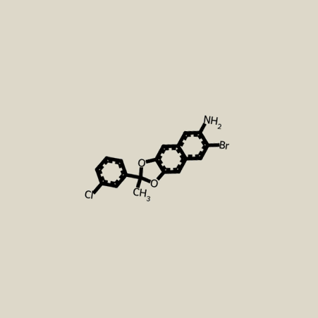 CC1(c2cccc(Cl)c2)Oc2cc3cc(N)c(Br)cc3cc2O1